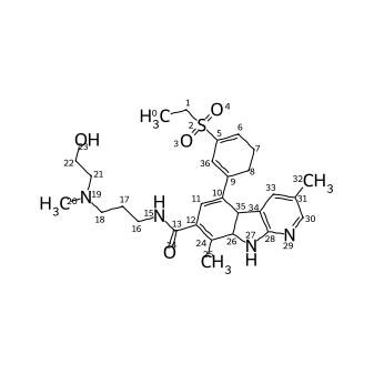 CCS(=O)(=O)C1=CCCC(C2=CC(C(=O)NCCCN(C)CCO)=C(C)C3Nc4ncc(C)cc4C23)=C1